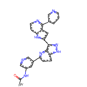 CCCC(=O)Nc1cncc(-c2ccc3[nH]nc(-c4cc5c(-c6cccnc6)nccc5[nH]4)c3n2)c1